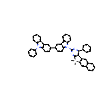 C[Si]1(C)c2cc3ccccc3cc2-c2c(-c3ccccc3)nc(-n3c4ccccc4c4cc(-c5ccc6c(c5)c5ccccc5n6-c5ccccc5)ccc43)nc21